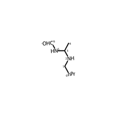 CCCCNC(C)N[C]=O